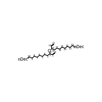 C=CC(CCCCCCCCCCCCCCCCCC)OC(C=C)CCCCCCCCCCCCCCCCCC